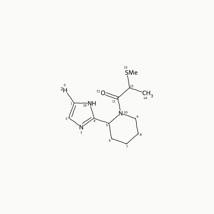 [2H]c1cnc(C2CCCCN2C(=O)C(C)SC)[nH]1